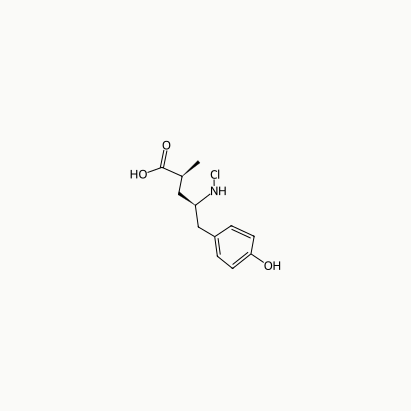 C[C@@H](C[C@H](Cc1ccc(O)cc1)NCl)C(=O)O